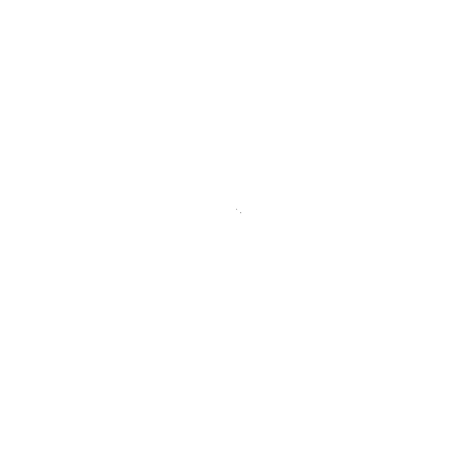 C[N+]1(CCC[O])CCOCC1